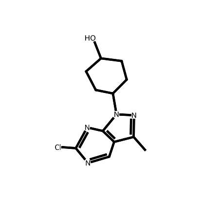 Cc1nn(C2CCC(O)CC2)c2nc(Cl)ncc12